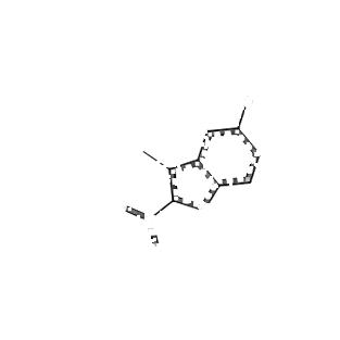 Cc1c([SH](=O)=O)sc2ccc(Cl)cc12